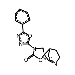 O=C1O[C@]2(CN3CCC2CC3)CN1c1nnc(-c2ccccc2)o1